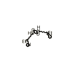 CCN(CCCCCCNC1=CC(=O)C(NCCCCCCN(CC)Cc2ccccn2)=CC1=O)Cc1ccccn1